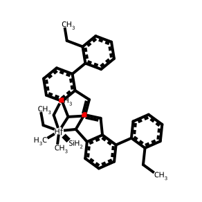 CCc1ccccc1-c1cccc2c1C=C[CH]2[Hf]([CH3])([CH3])(=[SiH2])([CH2]C)([CH2]C)[CH]1C=Cc2c(-c3ccccc3CC)cccc21